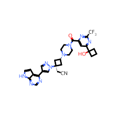 N#CC[C@]1(n2cc(-c3ncnc4[nH]ccc34)cn2)C[C@H](N2CCN(C(=O)c3cc(C4(O)CCC4)nc(C(F)(F)F)n3)CC2)C1